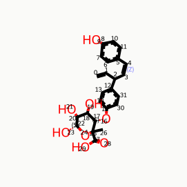 C=CC(/C=C\c1ccc(O)cc1)c1ccc(O[C@H]2C(O)C(O)[C@@H](O)OC2(C)C(=O)O)cc1